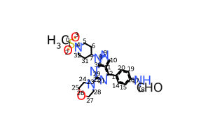 CS(=O)(=O)N1CCC(n2ncc3c(-c4ccc(NC=O)cc4)nc(N4CCOCC4)nc32)CC1